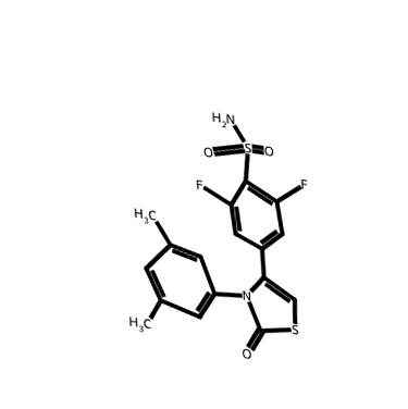 Cc1cc(C)cc(-n2c(-c3cc(F)c(S(N)(=O)=O)c(F)c3)csc2=O)c1